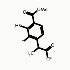 COC(=O)c1ccc(C(C)C(=O)C(F)(F)F)c(F)c1S